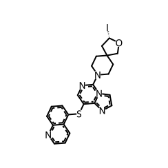 I[C@H]1CC2(CCN(c3ncc(Sc4cccc5ncccc45)c4nccn34)CC2)CO1